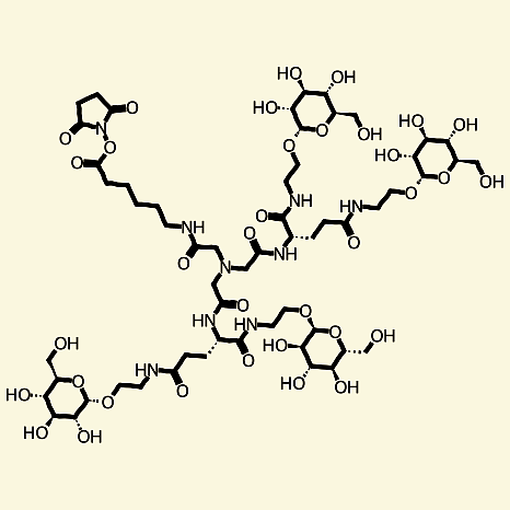 O=C(CC[C@H](NC(=O)CN(CC(=O)NCCCCCC(=O)ON1C(=O)CCC1=O)CC(=O)N[C@@H](CCC(=O)NCCO[C@H]1O[C@H](CO)[C@@H](O)[C@H](O)[C@H]1O)C(=O)NCCO[C@H]1O[C@H](CO)[C@@H](O)[C@H](O)[C@H]1O)C(=O)NCCO[C@H]1O[C@H](CO)[C@@H](O)[C@H](O)[C@H]1O)NCCO[C@H]1O[C@H](CO)[C@@H](O)[C@H](O)[C@H]1O